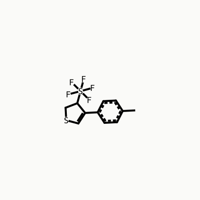 Cc1ccc(C2=CSCC2S(F)(F)(F)(F)F)cc1